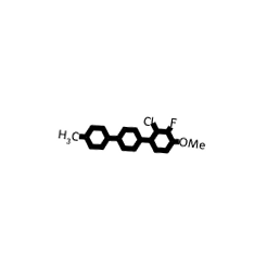 COC1CCC(C2CCC(C3CCC(C)CC3)CC2)C(Cl)C1F